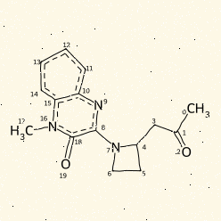 CC(=O)CC1CCN1c1nc2ccccc2n(C)c1=O